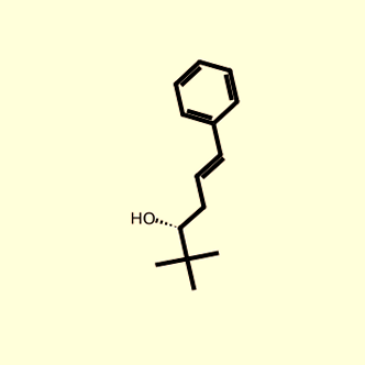 CC(C)(C)[C@H](O)C/C=C/c1ccccc1